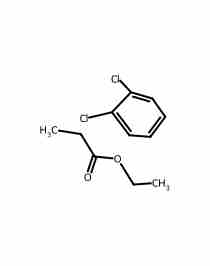 CCOC(=O)CC.Clc1ccccc1Cl